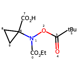 CCOC(=O)N(OC(=O)C(C)(C)C)C1(C(=O)O)CC1